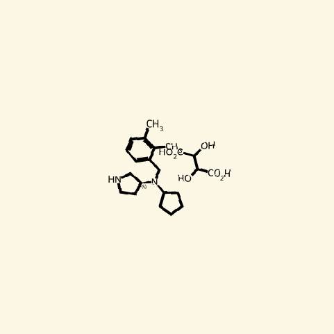 Cc1cccc(CN(C2CCCC2)[C@H]2CCNC2)c1C.O=C(O)C(O)C(O)C(=O)O